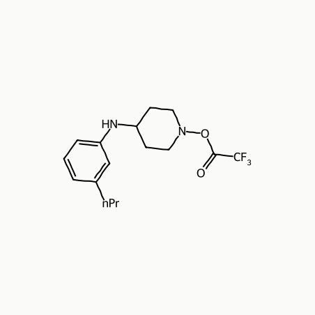 CCCc1cccc(NC2CCN(OC(=O)C(F)(F)F)CC2)c1